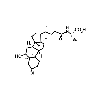 CC[C@@H](C)[C@H](NC(=O)CC[C@@H](C)[C@H]1CC[C@H]2[C@@H]3C[C@H](O)[C@@H]4C[C@H](O)CC[C@]4(C)[C@H]3CC[C@]12C)C(=O)O